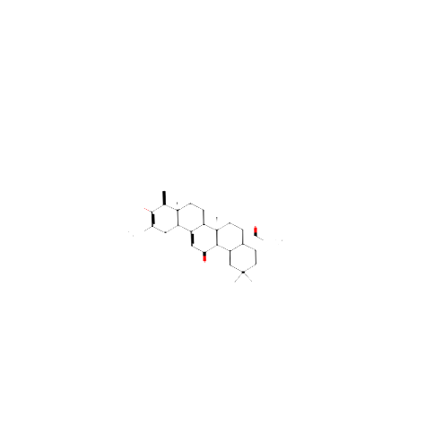 C=C1C(O)=C(C#N)C[C@]2(C)C3=CC(=O)C4C5CC(C)(C)CC[C@]5(C(=O)OC)CC[C@@]4(C)[C@]3(C)CC[C@@H]12